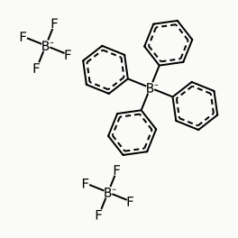 F[B-](F)(F)F.F[B-](F)(F)F.c1ccc([B-](c2ccccc2)(c2ccccc2)c2ccccc2)cc1